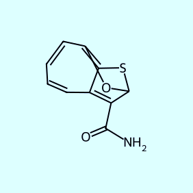 NC(=O)C1=C2C=CC=CC3=C2SC1O3